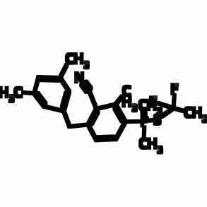 C=P(C)(SC(C)(F)F)c1ccc(Cc2cc(C)cc(C)c2)c(C#N)c1C